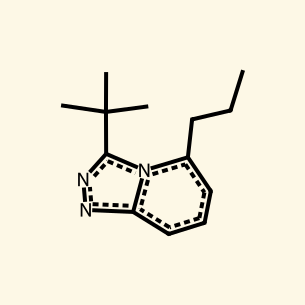 CCCc1cccc2nnc(C(C)(C)C)n12